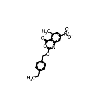 CCc1ccc(COc2nc3cc([N+](=O)[O-])cc(C)c3c(=O)o2)cc1